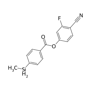 C[SiH2]c1ccc(C(=O)Oc2ccc(C#N)c(F)c2)cc1